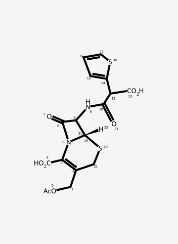 CC(=O)OCC1=C(C(=O)O)N2C(=O)C(NC(=O)C(C(=O)O)c3cccs3)[C@@H]2SC1